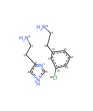 NCCc1c[nH]cn1.NCCc1cccc(Cl)c1